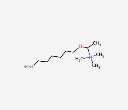 CCCCCCCCCCCCCCOC(C)[N+](C)(C)C